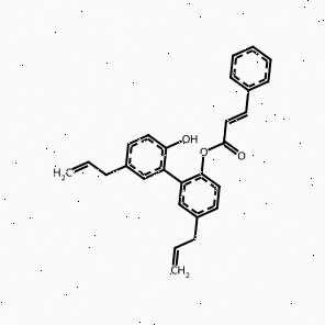 C=CCc1ccc(O)c(-c2cc(CC=C)ccc2OC(=O)C=Cc2ccccc2)c1